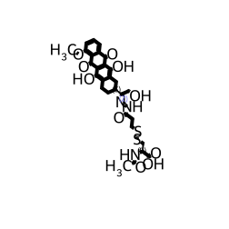 COc1cccc2c1C(=O)c1c(O)c3c(c(O)c1C2=O)C[C@@H](/C(CO)=N/NC(=O)CCSSC[C@H](NC(C)=O)C(=O)O)CC3